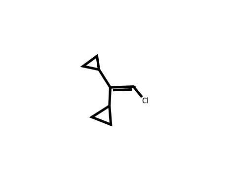 Cl[C]=C(C1CC1)C1CC1